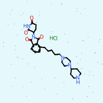 Cl.O=C1CCC(N2C(=O)c3cccc(CCCCCN4CCN(C5CCNCC5)CC4)c3C2=O)C(=O)N1